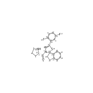 O=C([C@@H]1CCCN1)N1N=C(c2cc(F)ccc2F)SC12CCc1ccccc12